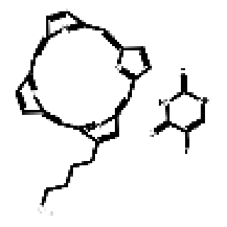 CCCCCC1=CC2=CC3=NC(=CC4=NC(=CC5=NC(=CC1=N2)C=C5)C=C4)C=C3.O=c1[nH]cc(F)c(=O)[nH]1